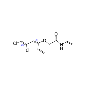 C=CNC(=O)CO/C(C=C)=C/C(Cl)=C/Cl